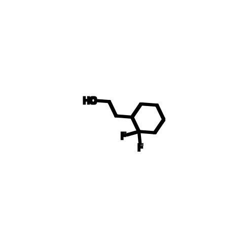 OCCC1CCCCC1(F)F